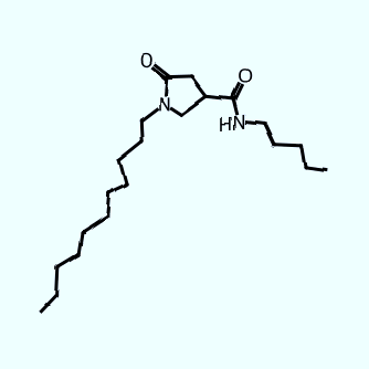 CCCCCCCCCCCN1CC(C(=O)NCCCCC)CC1=O